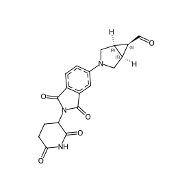 O=C[C@H]1[C@H]2CN(c3ccc4c(c3)C(=O)N(C3CCC(=O)NC3=O)C4=O)C[C@@H]12